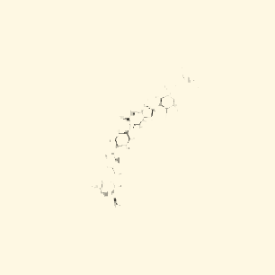 C[C@H](N)CCCc1cc(Cl)c(F)c(-c2cc3cn(-c4ccc([C@H](C)NCC[C@H](CCC#N)NC(=N)N)cc4)c(=O)nc3[nH]2)c1